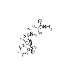 CS(=O)(=O)C1C=CC=CC1c1csc(N2CCC(C(N)=O)CC2)n1